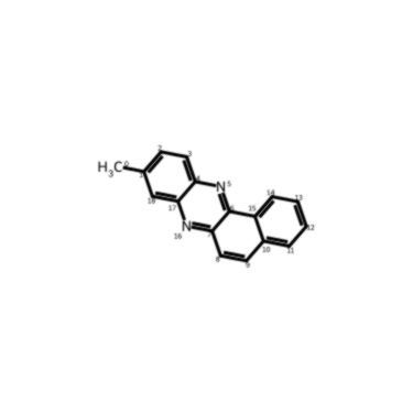 Cc1ccc2nc3c(ccc4ccccc43)nc2c1